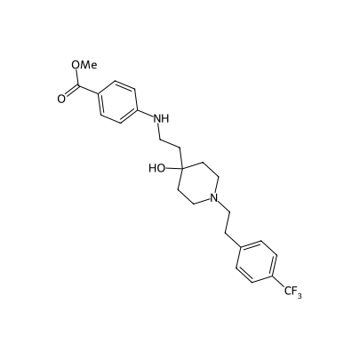 COC(=O)c1ccc(NCCC2(O)CCN(CCc3ccc(C(F)(F)F)cc3)CC2)cc1